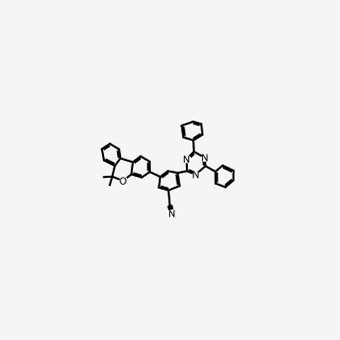 CC1(C)Oc2cc(-c3cc(C#N)cc(-c4nc(-c5ccccc5)nc(-c5ccccc5)n4)c3)ccc2-c2ccccc21